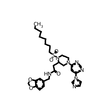 CCCCCCCCS(=O)(=O)N1CCN(c2cc(-n3ccnc3)ncn2)CC1CC(=O)NCc1ccc2c(c1)OCO2